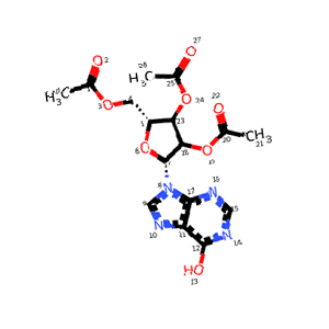 CC(=O)OC[C@H]1O[C@@H](n2cnc3c(O)ncnc32)C(OC(C)=O)C1OC(C)=O